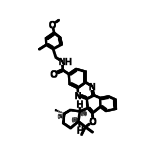 COc1ccc(CNC(=O)c2ccc3nc4c(nc3c2)c2c(c3ccccc34)OC(C)(C)[C@H]3CC[C@H](C)C[C@H]23)c(C)c1